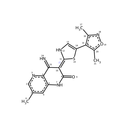 Cc1cnc2c(c1)NC(=O)/C(=C1/NC=C(c3c(C)noc3C)S1)C2=N